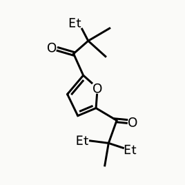 CCC(C)(C)C(=O)c1ccc(C(=O)C(C)(CC)CC)o1